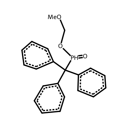 COCO[PH](=O)C(c1ccccc1)(c1ccccc1)c1ccccc1